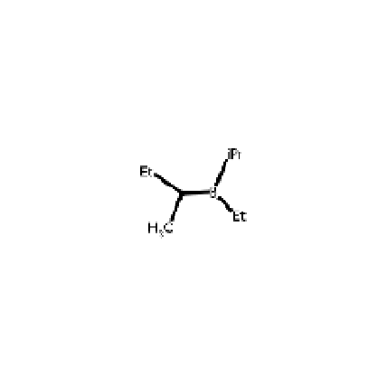 CCB(C(C)C)C(C)CC